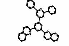 c1ccc(-c2cc(-c3cc(-c4ccc5ccccc5n4)cc(-c4ccc5ccccc5n4)c3)cc(-c3ccccc3)n2)cc1